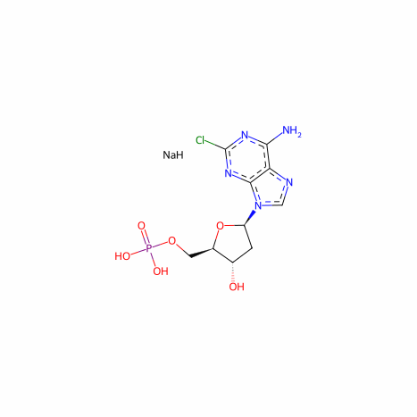 Nc1nc(Cl)nc2c1ncn2[C@H]1C[C@H](O)[C@@H](COP(=O)(O)O)O1.[NaH]